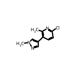 Cc1nc(Cl)ccc1-c1cnn(C)c1